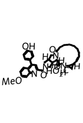 COc1ccc2c(-c3ccc(O)cc3)cc(C(=O)N3C[C@H]4CN5C(=O)CCCCCC/C=C\[C@@H]6C[C@@]6(C(=O)O)NC(=O)[C@@H]5[C@H]4C3)nc2c1